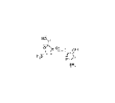 B[C@H]1CC(O)[C@@H](COOC2C[C@H](B)O[C@@H]2CO)O1